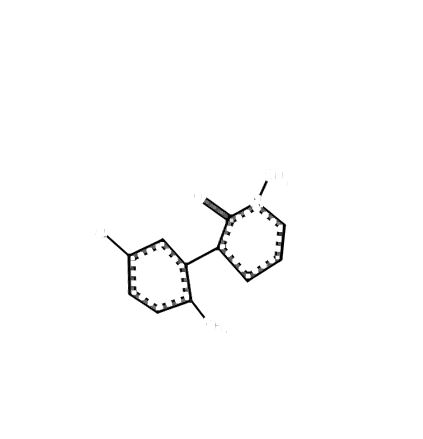 Cc1ccc(Cl)cc1-c1cccn(C)c1=O